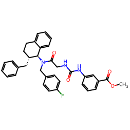 COC(=O)c1cccc(NC(=O)NCC(=O)N(Cc2ccc(F)cc2)[C@@H]2c3ccccc3CC[C@H]2Cc2ccccc2)c1